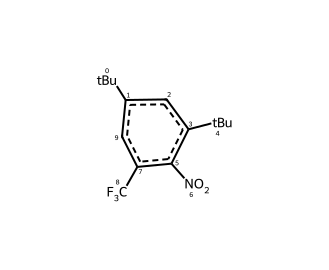 CC(C)(C)c1cc(C(C)(C)C)c([N+](=O)[O-])c(C(F)(F)F)c1